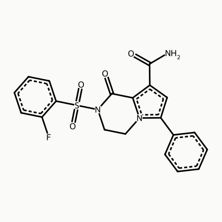 NC(=O)c1cc(-c2ccccc2)n2c1C(=O)N(S(=O)(=O)c1ccccc1F)CC2